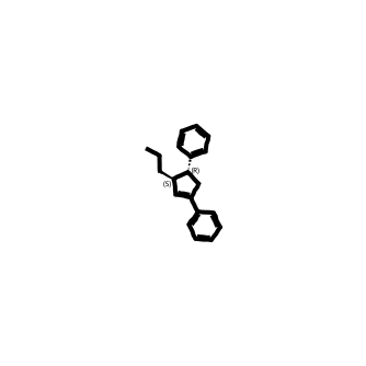 CCC[C@@H]1C=C(c2ccccc2)C[C@H]1c1ccccc1